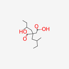 CCC(C)CC(CC(=O)O)(CC(C)CC)C(=O)O